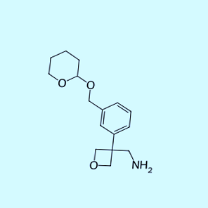 NCC1(c2cccc(COC3CCCCO3)c2)COC1